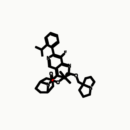 CC(C)c1ccccc1-c1ncc2c(N3CC4CCC(C3)N4C(=O)OC(C)(C)C)nc(OCC34CCCN3CCC4)nc2c1F